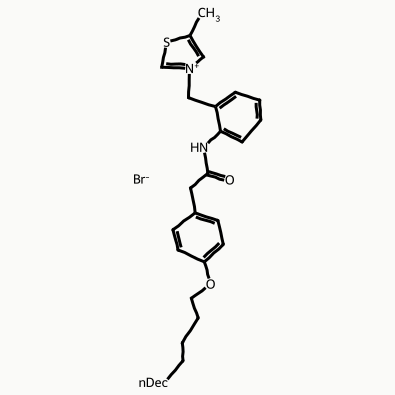 CCCCCCCCCCCCCCOc1ccc(CC(=O)Nc2ccccc2C[n+]2csc(C)c2)cc1.[Br-]